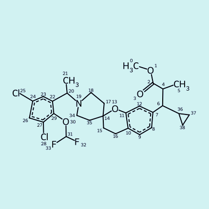 COC(=O)C(C)C(c1ccc2c(c1)OC1(CC2)CCN(C(C)c2cc(Cl)cc(Cl)c2OC(F)F)CC1)C1CC1